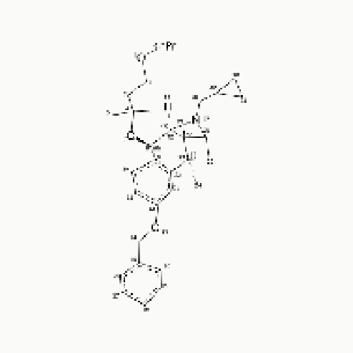 CCCOCCC(C)(C)O[C@@H]1c2ccc(OCc3ccccc3)cc2[C@]2(C)CC3N(CC4CC4)[C@H]1C32C